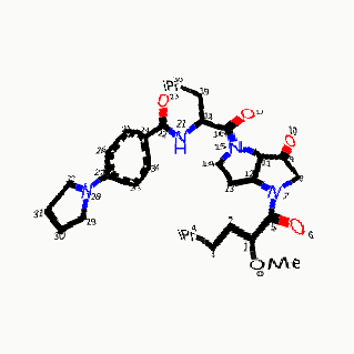 COC(CCC(C)C)C(=O)N1CC(=O)C2C1CCN2C(=O)C(CC(C)C)NC(=O)c1ccc(N2CCCC2)cc1